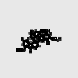 CNc1cc(F)c(F)c2c1[nH]c1ncc(-c3cnc4c(c3)c(=O)c(C(=O)O)cn4N)c(N3CC[C@H]4CN(C)C[C@H]43)c12